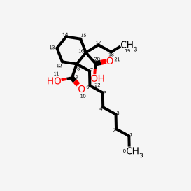 CCCCCCCCC1(C(=O)O)CCCCC1(CCC)C(=O)O